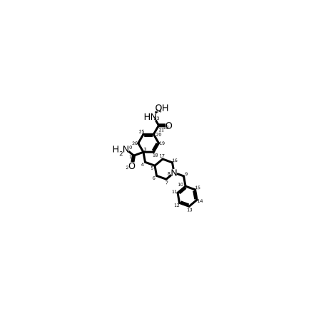 NC(=O)C1(CC2CCN(Cc3ccccc3)CC2)C=CC(C(=O)NO)=CC1